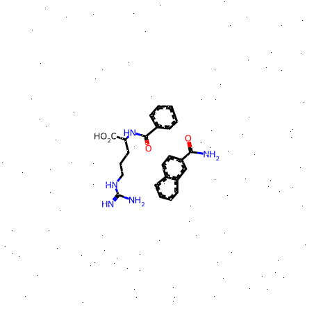 N=C(N)NCCCC(NC(=O)c1ccccc1)C(=O)O.NC(=O)c1ccc2ccccc2c1